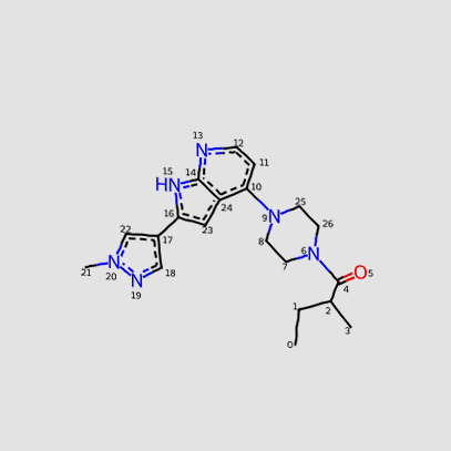 CCC(C)C(=O)N1CCN(c2ccnc3[nH]c(-c4cnn(C)c4)cc23)CC1